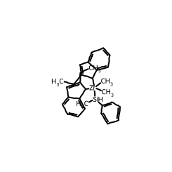 CCC1=Cc2ccccc2[CH]1[Zr]([CH3])([CH3])([CH]1C(CC)=Cc2ccccc21)[SiH](C)c1ccccc1